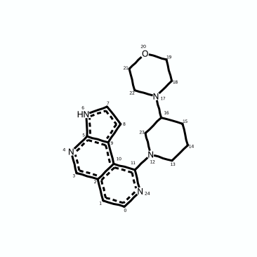 c1cc2cnc3[nH]ccc3c2c(N2CCCC(N3CCOCC3)C2)n1